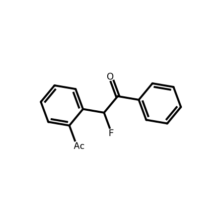 CC(=O)c1ccccc1C(F)C(=O)c1ccccc1